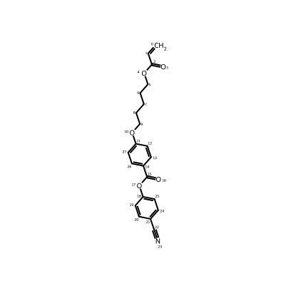 C=CC(=O)OCCCCCOc1ccc(C(=O)Oc2ccc(C#N)cc2)cc1